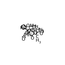 COc1ccccc1C(C[N@@+]1(C(C)(C)C(=O)O)C(=O)NC(=O)c2c1sc(-c1ncco1)c2C)OCC1COC1